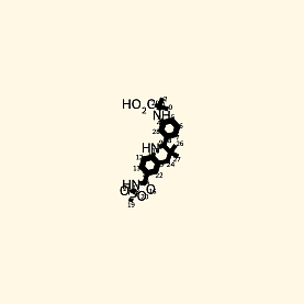 CC(C)(Nc1cccc(C2Nc3ccc(C(=O)NS(C)(=O)=O)cc3CC2(C)C)c1)C(=O)O